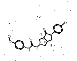 CCc1ccc(N2C[C@H]3CN(OC(=O)Nc4ccc(OC(F)(F)F)cc4)C[C@H]3C2=O)cc1